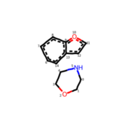 C1COCCN1.c1ccc2occc2c1